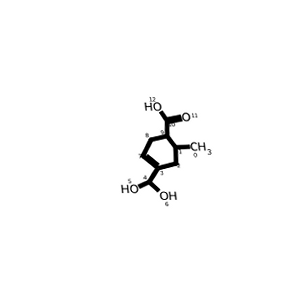 CC1CC(C(O)O)=CCC1C(=O)O